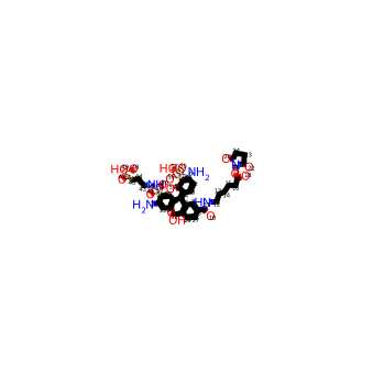 Nc1ccc2c(-c3cc(C(=O)NCCCCCC(=O)ON4C(=O)CCC4=O)ccc3C(=O)O)c3ccc(N)c(S(=O)(=O)NCCCS(=O)(=O)O)c3[o+]c2c1S(=O)(=O)O